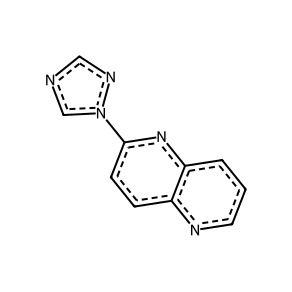 c1cnc2ccc(-n3cncn3)nc2c1